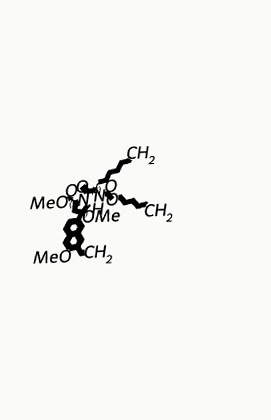 C=CCCCCC[C@H](NC(=O)OCCCCC=C)C(=O)N1C[C@](OC)(c2ccc3cc(OC)c(C=C)cc3c2)C[C@H]1C(=O)OC